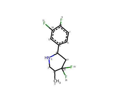 CC1CNC(c2ccc(F)c(F)c2)CC1(F)F